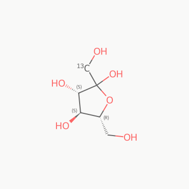 OC[C@H]1OC(O)([13CH2]O)[C@@H](O)[C@@H]1O